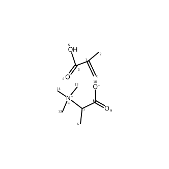 C=C(C)C(=O)O.CC(C(=O)[O-])[N+](C)(C)C